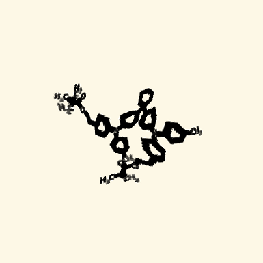 C=C(C)C(=O)OCCc1ccc(N(c2ccc(C)cc2)c2ccc(C3(c4ccc(N(c5ccc(C)cc5)c5ccc(CCOC(=O)C(C)(C)C)cc5)cc4)CCCCC3)cc2)cc1